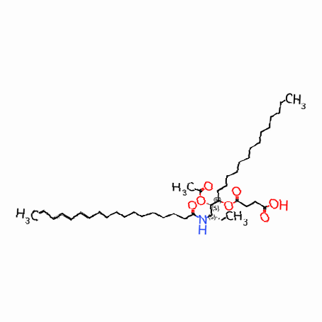 CCCCCCCCCCCCCCCCCC(=O)N[C@@H](CC)[C@H](OC(C)=O)[C@@H](CCCCCCCCCCCCCC)OC(=O)CCC(=O)O